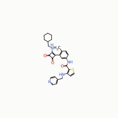 Cc1ccc(NC(=O)c2sccc2NCc2ccncc2)cc1-c1c(NCC2CCCCC2)c(=O)c1=O